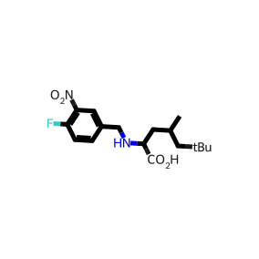 CC(CC(NCc1ccc(F)c([N+](=O)[O-])c1)C(=O)O)CC(C)(C)C